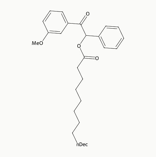 CCCCCCCCCCCCCCCCCC(=O)OC(C(=O)c1cccc(OC)c1)c1ccccc1